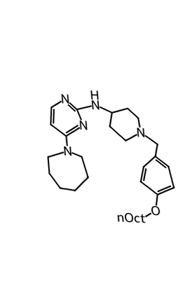 CCCCCCCCOc1ccc(CN2CCC(Nc3nccc(N4CCCCCC4)n3)CC2)cc1